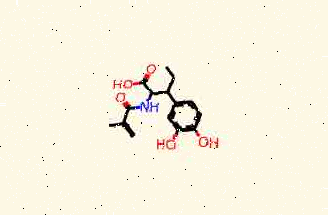 C=C(C)C(=O)NC(C(=O)O)C(CC)c1ccc(O)c(O)c1